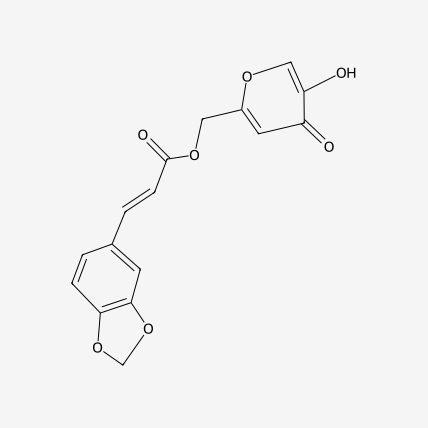 O=C(C=Cc1ccc2c(c1)OCO2)OCc1cc(=O)c(O)co1